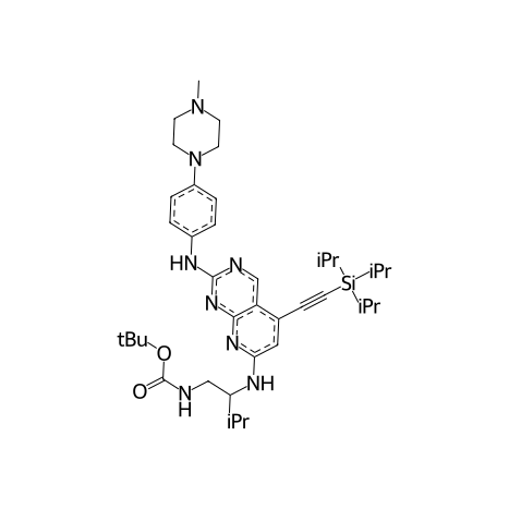 CC(C)C(CNC(=O)OC(C)(C)C)Nc1cc(C#C[Si](C(C)C)(C(C)C)C(C)C)c2cnc(Nc3ccc(N4CCN(C)CC4)cc3)nc2n1